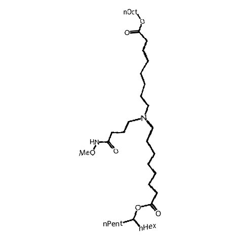 CCCCCCCCOC(=O)CCCCCCCN(CCCCCCCC(=O)OC(CCCCC)CCCCCC)CCCC(=O)NOC